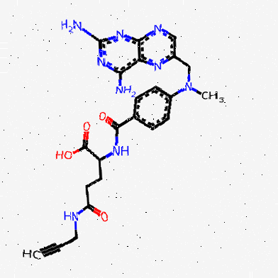 C#CCNC(=O)CCC(NC(=O)c1ccc(N(C)Cc2cnc3nc(N)nc(N)c3n2)cc1)C(=O)O